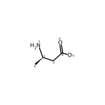 C[C@@H](N)CC([O])=O